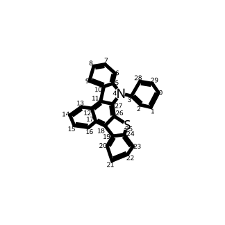 c1ccc(-n2c3ccccc3c3c4ccccc4c4c5ccccc5sc4c32)cc1